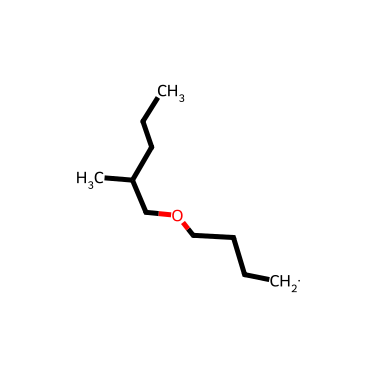 [CH2]CCCOCC(C)CCC